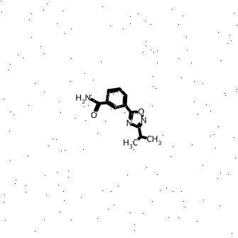 CC(C)c1noc(-c2cccc(C(N)=O)c2)n1